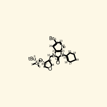 CC(C)(C)[Si](C)(C)O[C@H]1COC[C@@H]1Cn1c(=O)n(C2=CCCCC2)c2ncc(Br)cc21